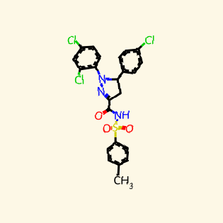 Cc1ccc(S(=O)(=O)NC(=O)C2=NN(c3ccc(Cl)cc3Cl)C(c3ccc(Cl)cc3)C2)cc1